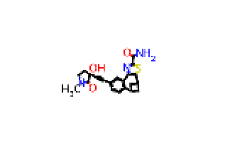 CN1CC[C@@](O)(C#Cc2ccc3c(c2)-c2nc(C(N)=O)sc2C2CC3C2)C1=O